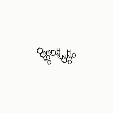 COC1=CC2=CC3=C(CC=CC3)N(CN3CCC(NCc4ccc5c(n4)NC(=O)CO5)CC3)C2O1